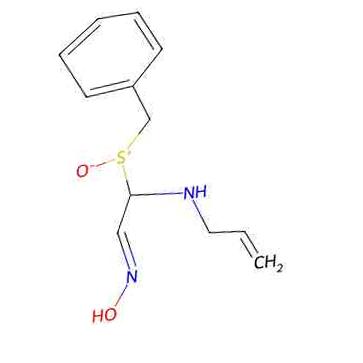 C=CCNC(C=NO)[S+]([O-])Cc1ccccc1